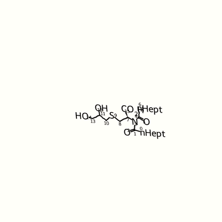 CCCCCCCC(=O)N(C(=O)CCCCCCC)[C@@H](CSCC(O)CO)C(=O)O